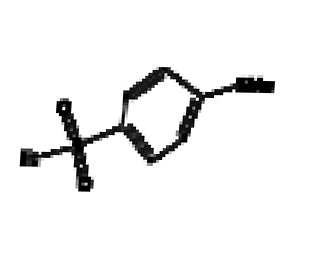 CCS(=O)(=O)c1ccc(SC)cc1